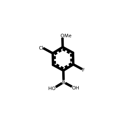 COc1cc(F)c(B(O)O)cc1Cl